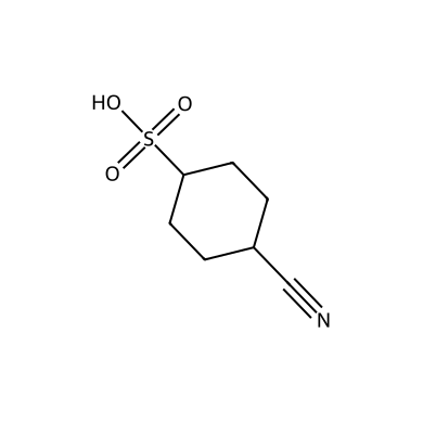 N#CC1CCC(S(=O)(=O)O)CC1